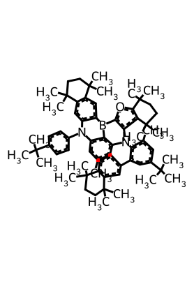 Cc1cc2c3c(c1)N(c1c(C)cc(C(C)(C)C)cc1-c1ccc4c(c1)C(C)(C)CCC4(C)C)c1c(oc4c1C(C)(C)CCC4(C)C)B3c1cc3c(cc1N2c1ccc(C(C)(C)C)cc1)C(C)(C)CCC3(C)C